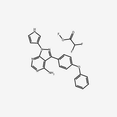 Nc1ncnc2c1c(-c1ccc(Oc3ccccc3)cc1)nn2-c1cc[nH]c1.O=C(OF)C(F)F